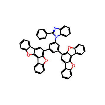 c1ccc(-c2nc3ccccc3n2-c2cc(-c3cc4c5ccccc5oc4c4c3oc3ccccc34)cc(-c3cc4c5ccccc5oc4c4c3oc3ccccc34)c2)cc1